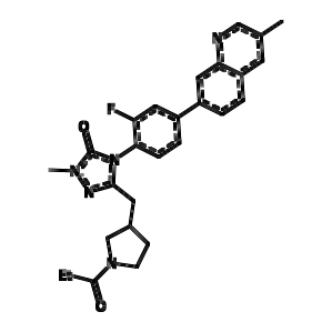 CCC(=O)N1CCC(Cc2nn(C)c(=O)n2-c2ccc(-c3ccc4cc(C)cnc4c3)cc2F)C1